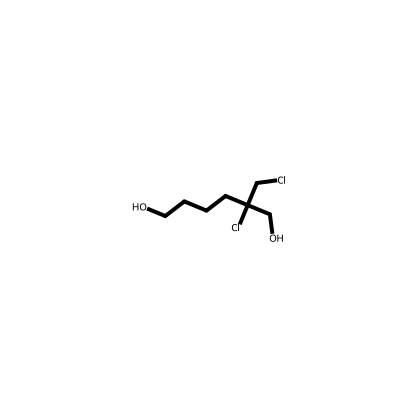 OCCCCC(Cl)(CO)CCl